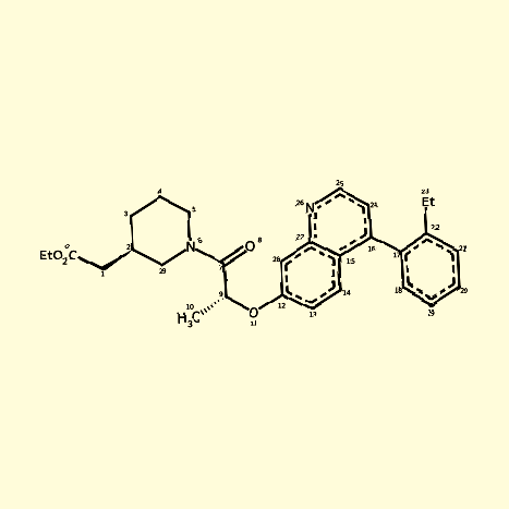 CCOC(=O)C[C@H]1CCCN(C(=O)[C@@H](C)Oc2ccc3c(-c4ccccc4CC)ccnc3c2)C1